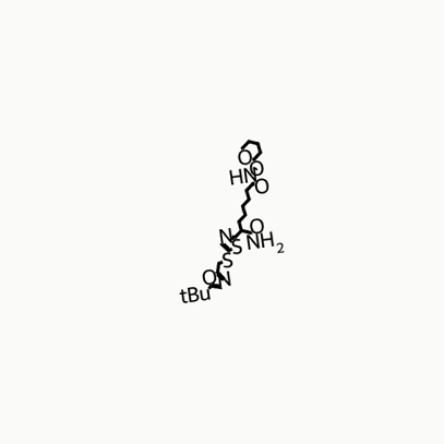 CC(C)(C)c1cnc(CSc2cnc(C(CCCCCC(=O)NOC3CCCCO3)C(N)=O)s2)o1